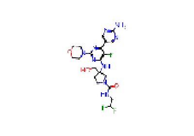 Nc1ncc(-c2nc(N3CCOCC3)nc(N[C@@]3(CO)CCN(C(=O)NCC(F)F)C3)c2F)cn1